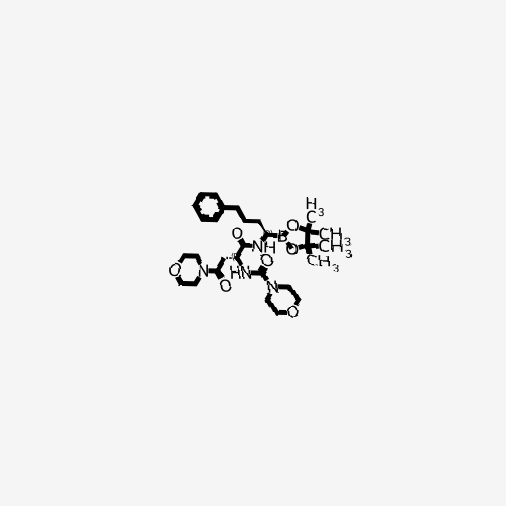 CC1(C)OB([C@H](CCCc2ccccc2)NC(=O)[C@@H](CC(=O)N2CCOCC2)NC(=O)N2CCOCC2)OC1(C)C